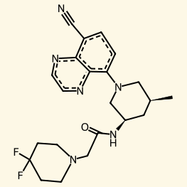 C[C@H]1C[C@@H](NC(=O)CN2CCC(F)(F)CC2)CN(c2ccc(C#N)c3nccnc23)C1